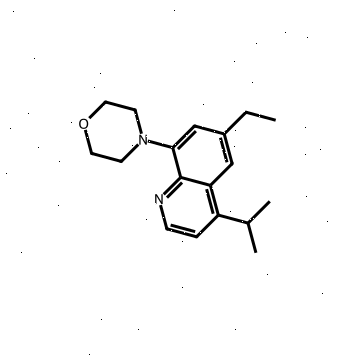 CCc1cc(N2CCOCC2)c2nccc(C(C)C)c2c1